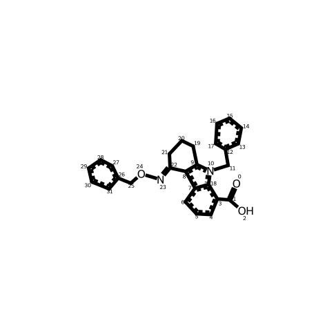 O=C(O)c1cccc2c3c(n(Cc4ccccc4)c12)CCC/C3=N\OCc1ccccc1